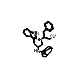 OCC(Cc1ccccc1)NCC(Cc1c[nH]c2ccccc12)NC1C2CC3CC(C2)CC1C3